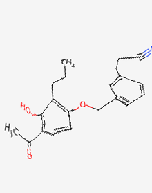 CCCc1c(OCc2cccc(CC#N)c2)ccc(C(C)=O)c1O